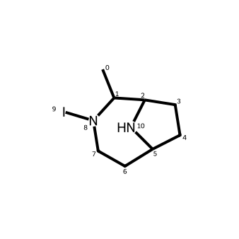 CC1C2CCC(CCN1I)N2